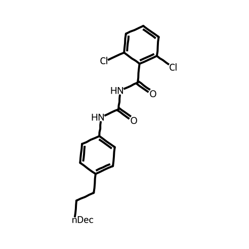 CCCCCCCCCCCCc1ccc(NC(=O)NC(=O)c2c(Cl)cccc2Cl)cc1